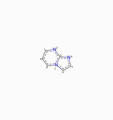 [c]1cnc2nccn2c1